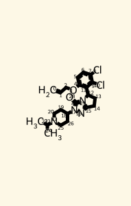 C=CCOc1ccc(Cl)c(Cl)c1C1CCc2nn(C3CCN(C(C)C)CC3)c(=O)n21